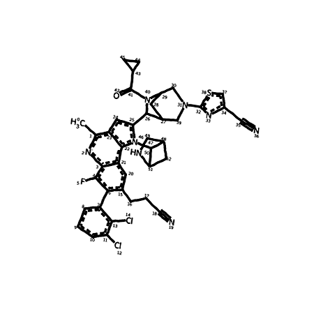 Cc1nc2c(F)c(-c3cccc(Cl)c3Cl)c(CCC#N)cc2c2c1cc(C1C3CC(CN(c4nc(C#N)cs4)C3)N1C(=O)C1CC1)n2C1C2CNC1C2